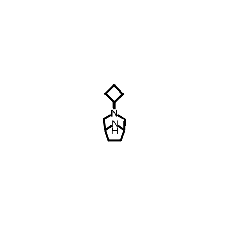 C1CC(N2CC3CCC(C2)N3)C1